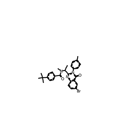 Cc1ccc(-n2c(C(C)N(C)C(=O)c3ccc(C(C)(C)C)cc3)nc3ccc(Br)cc3c2=O)cc1